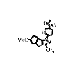 COc1ccc2c(c1)Cc1c(C(F)(F)F)nn(-c3ccc(S(C)(=O)=O)cn3)c1-2